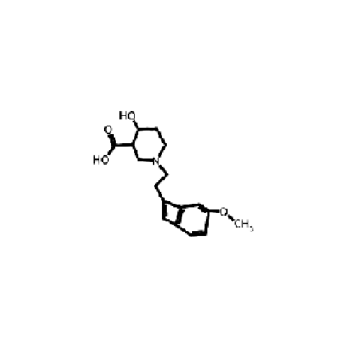 COc1ccc2c(c1)C(CCN1CCC(O)C(C(=O)O)C1)=C2